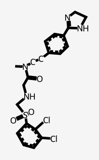 CN(CCc1ccc(C2=NCCN2)cc1)C(=O)CNCS(=O)(=O)c1cccc(Cl)c1Cl